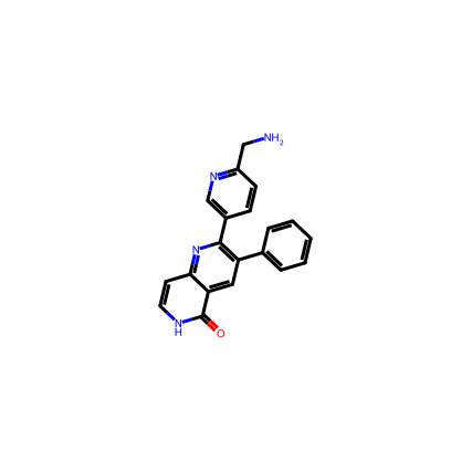 NCc1ccc(-c2nc3cc[nH]c(=O)c3cc2-c2ccccc2)cn1